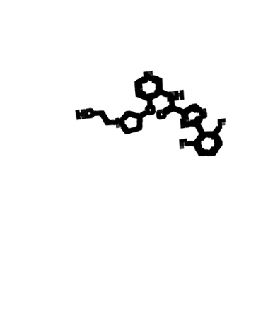 O=C(Nc1cnccc1OC1CCN(CCO)C1)c1csc(-c2c(F)cccc2F)n1